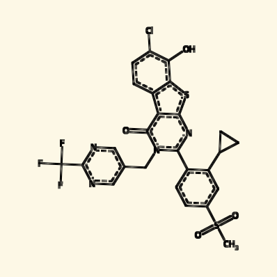 CS(=O)(=O)c1ccc(-c2nc3sc4c(O)c(Cl)ccc4c3c(=O)n2Cc2cnc(C(F)(F)F)nc2)c(C2CC2)c1